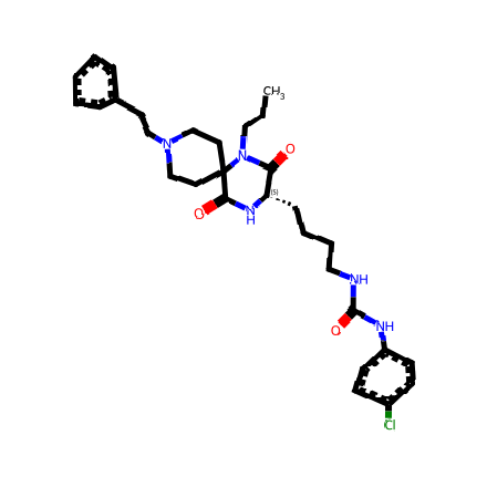 CCCN1C(=O)[C@H](CCCCNC(=O)Nc2ccc(Cl)cc2)NC(=O)C12CCN(CCc1ccccc1)CC2